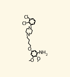 COc1cc(OCCCCN2CCN(c3cccc(Cl)c3Cl)CC2)cc(N)c1OC